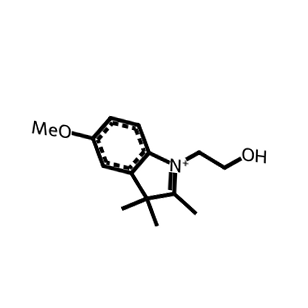 COc1ccc2c(c1)C(C)(C)C(C)=[N+]2CCO